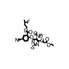 CCOC(=O)COc1nc(SC)nc(Oc2ccc(C#N)cc2C(=O)OCCC(C)F)c1[N+](=O)[O-]